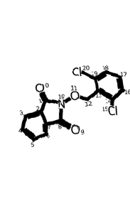 O=C1c2ccccc2C(=O)N1OCc1c(Cl)cccc1Cl